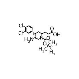 CC(C)(C)OC(=O)N1C[C@@H](N)[C@H](c2ccc(Cl)c(Cl)c2)CC1CCC(=O)O